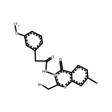 CC(C)Cc1nc2cc(F)ccc2c(=O)n1NC(=O)Cc1cccc(OC(F)(F)F)c1